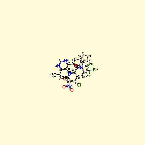 CC(C)c1ncnc(C(C)C)c1-n1c(=O)c([N+](=O)[O-])c(Cl)c2cc(C(F)(F)F)n([C@H]3C=CC=C3F)c(=O)c21